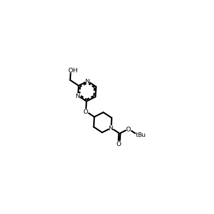 CC(C)(C)OC(=O)N1CCC(Oc2ccnc(CO)n2)CC1